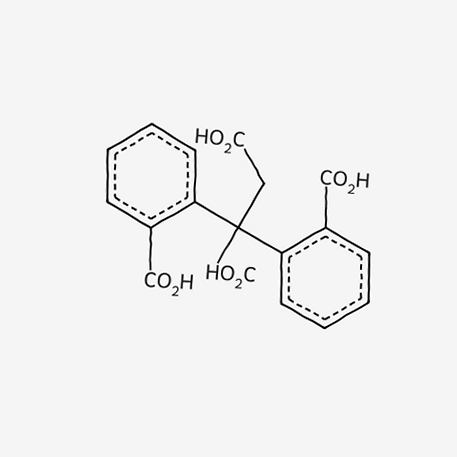 O=C(O)CC(C(=O)O)(c1ccccc1C(=O)O)c1ccccc1C(=O)O